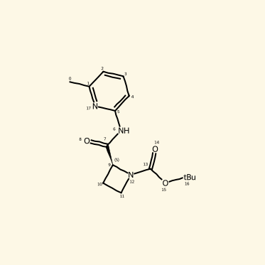 Cc1cccc(NC(=O)[C@@H]2CCN2C(=O)OC(C)(C)C)n1